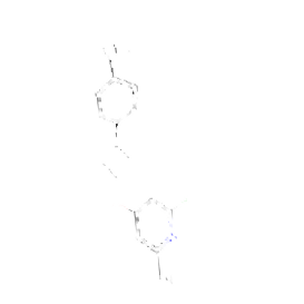 N#Cc1cc(O[C@H]2C[C@H](c3ccc(C(F)(F)F)cc3)C2)cc(Cl)n1